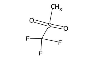 CS(=O)(=O)C(F)(F)F